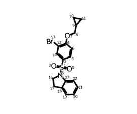 O=S(=O)(c1ccc(OCC2CC2)c(Br)c1)N1CCc2ccccc21